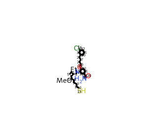 CCN(C[C@@H]1CC[C@H]1[C@H](/C=C/CCCS)OC)c1cc(C(N)=O)ccc1OCCCCc1cccc(Cl)c1